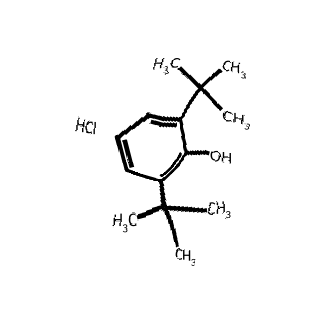 CC(C)(C)c1cccc(C(C)(C)C)c1O.Cl